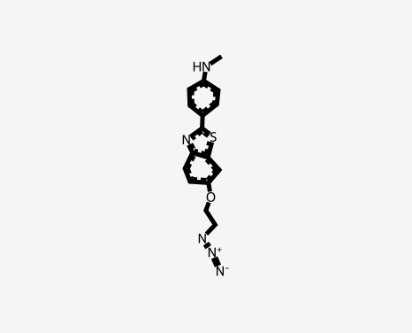 CNc1ccc(-c2nc3ccc(OCCN=[N+]=[N-])cc3s2)cc1